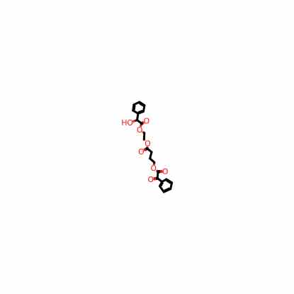 O=C(CCCOC(=O)C(=O)c1ccccc1)OCCOC(=O)C(O)c1ccccc1